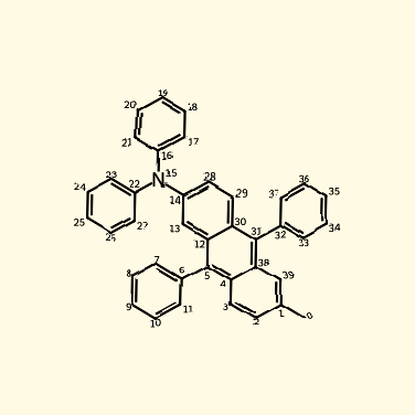 Cc1ccc2c(-c3ccccc3)c3cc(N(c4ccccc4)c4ccccc4)ccc3c(-c3ccccc3)c2c1